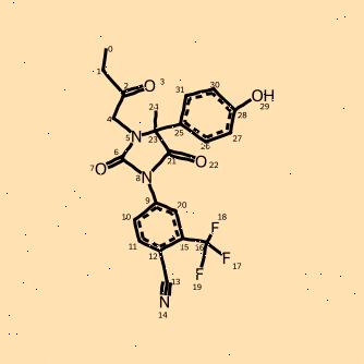 CCC(=O)CN1C(=O)N(c2ccc(C#N)c(C(F)(F)F)c2)C(=O)C1(C)c1ccc(O)cc1